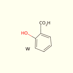 O=C(O)c1ccccc1O.[W]